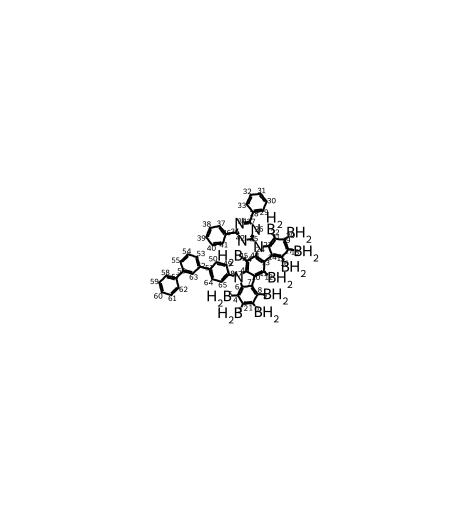 Bc1c(B)c(B)c2c(c1B)c1c(B)c3c4c(B)c(B)c(B)c(B)c4n(-c4nc(-c5ccccc5)nc(-c5ccccc5)n4)c3c(B)c1n2-c1ccc(-c2cccc(-c3ccccc3)c2)cc1